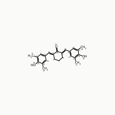 Cc1cc(C=C2CCCC(=Cc3cc(C)c(O)c(C)c3)C2=O)cc(C)c1O